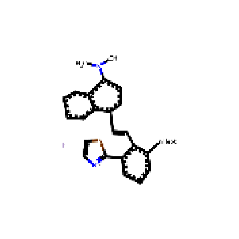 CCCCCCCc1cccc(C2=[N+]C=CS2)c1/C=C/c1ccc(N(C)C)c2ccccc12.[I-]